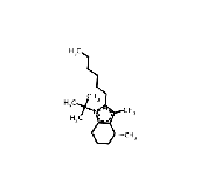 CCCCCCc1c(C)c2c(n1C(C)(C)C)CCCC2C